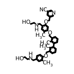 Cc1cc(CNCCO)ccc1OCc1cccc(-c2cccc(COc3cc(OCc4cncc(C#N)c4)c(CNCCO)cc3C)c2C)c1C